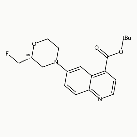 CC(C)(C)OC(=O)c1ccnc2ccc(N3CCO[C@@H](CF)C3)cc12